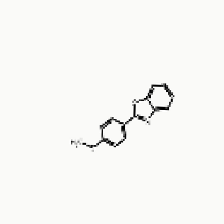 CSc1ccc(-c2nc3ccccc3s2)cc1